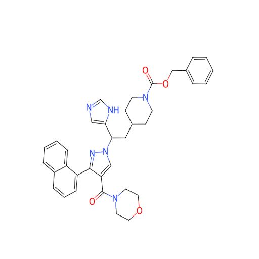 O=C(OCc1ccccc1)N1CCC(CC(c2cnc[nH]2)n2cc(C(=O)N3CCOCC3)c(-c3cccc4ccccc34)n2)CC1